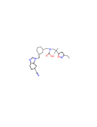 CCc1cc(C(C)(C)CN(CC2CCC[C@H](Cn3cnc4ccc(C#N)cc43)C2)C(=O)O)on1